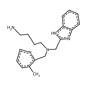 Cc1cccnc1CN(CCCCN)Cc1nc2ccccc2[nH]1